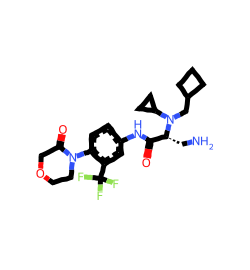 NC[C@H](C(=O)Nc1ccc(N2CCOCC2=O)c(C(F)(F)F)c1)N(CC1CCC1)C1CC1